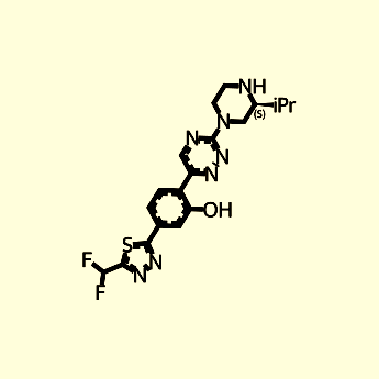 CC(C)[C@H]1CN(c2ncc(-c3ccc(-c4nnc(C(F)F)s4)cc3O)nn2)CCN1